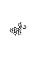 c1ccc(-c2c3ccccc3c(-n3c4ccccc4c4cc5c(cc43)c3ccccc3n5-c3ccccc3)c3ccccc23)cc1